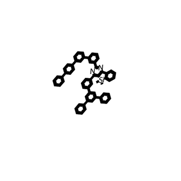 C[Si]1(C)c2ccccc2-c2nc(-c3cccc(-c4cccc(-c5ccc(-c6ccccc6)cc5)c4)c3)nc(-c3cccc(-c4cc(-c5ccccc5)cc(-c5ccccc5)c4)c3)c21